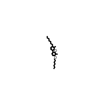 CCCCCCCOc1ccc2c(oc3c(C)c(CCCCCCC)ccc32)c1C